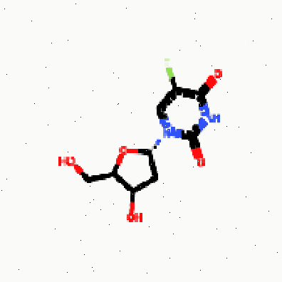 O=c1[nH]c(=O)n([C@@H]2CC(O)C(CO)O2)cc1F